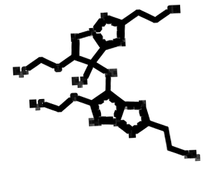 CCOC1=Nn2nc(CCO)nc2C1(N)Nc1c(OCC)[nH]n2nc(CCN)nc12